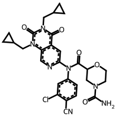 N#Cc1ccc(N(C(=O)C2CN(C(N)=O)CCO2)c2cc3c(=O)n(CC4CC4)c(=O)n(CC4CC4)c3cn2)cc1Cl